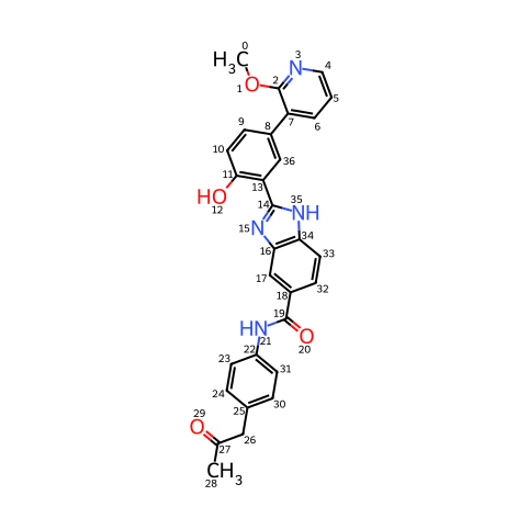 COc1ncccc1-c1ccc(O)c(-c2nc3cc(C(=O)Nc4ccc(CC(C)=O)cc4)ccc3[nH]2)c1